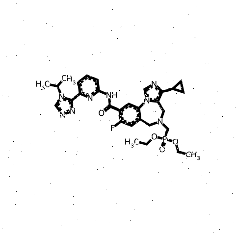 CCOP(=O)(CN1Cc2cc(F)c(C(=O)Nc3cccc(-c4nncn4C(C)C)n3)cc2-n2cnc(C3CC3)c2C1)OCC